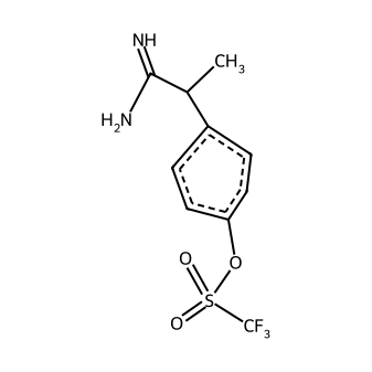 CC(C(=N)N)c1ccc(OS(=O)(=O)C(F)(F)F)cc1